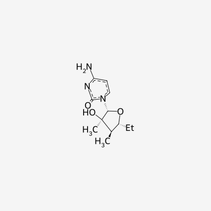 CC[C@H]1O[C@@H](n2ccc(N)nc2=O)[C@](C)(O)[C@@H]1C